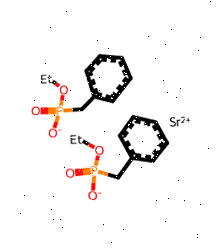 CCOP(=O)([O-])Cc1ccccc1.CCOP(=O)([O-])Cc1ccccc1.[Sr+2]